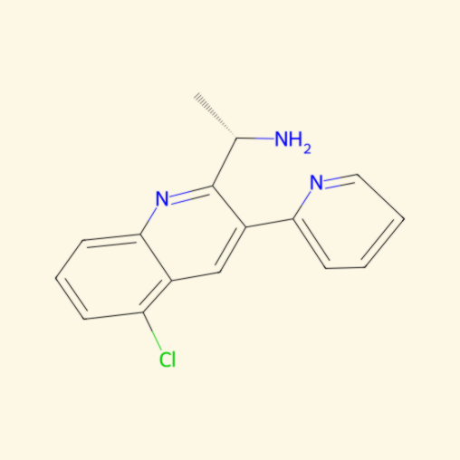 C[C@H](N)c1nc2cccc(Cl)c2cc1-c1ccccn1